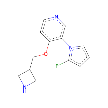 Fc1cccn1-c1cnccc1OCC1CNC1